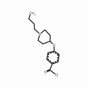 CCCCN1CCC(Oc2ccc(C(=O)Cl)cc2)CC1